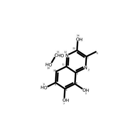 Cc1nc2c(O)c(O)c(O)cc2nc1O.O=CO